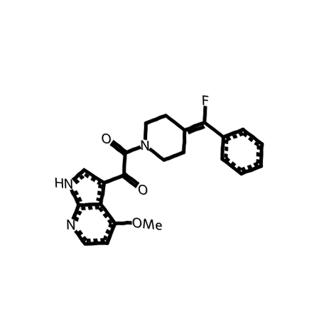 COc1ccnc2[nH]cc(C(=O)C(=O)N3CCC(=C(F)c4ccccc4)CC3)c12